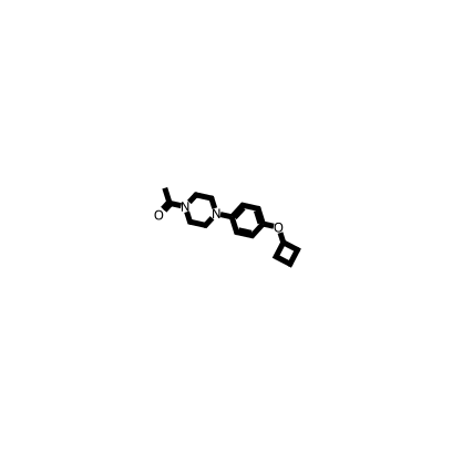 CC(=O)N1CCN(c2ccc(OC3CCC3)cc2)CC1